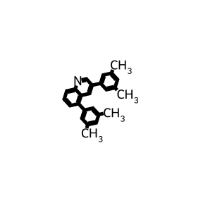 Cc1cc(C)cc(-c2cnc3cccc(-c4cc(C)cc(C)c4)c3c2)c1